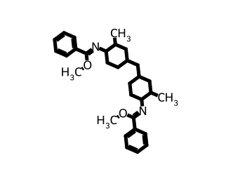 COC(=NC1CCC(CC2CCC(N=C(OC)c3ccccc3)C(C)C2)CC1C)c1ccccc1